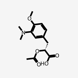 COc1ccc(C[C@@H](OC(C)=O)C(=O)O)cc1N(C)C